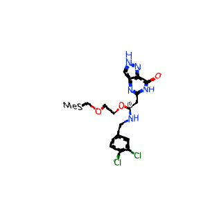 CSCOCCO[C@@H](Cc1nc2c[nH]nc2c(=O)[nH]1)NCc1ccc(Cl)c(Cl)c1